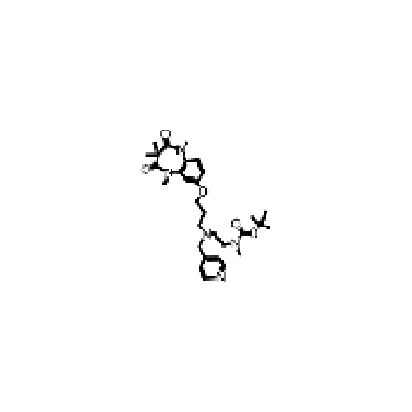 CN(CCN(CCCOc1ccc2c(c1)N(C)C(=O)C(C)(C)C(=O)N2C)Cc1ccncc1)C(=O)OC(C)(C)C